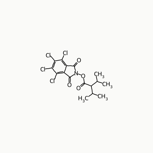 CC(C)C(C(=O)ON1C(=O)c2c(Cl)c(Cl)c(Cl)c(Cl)c2C1=O)C(C)C